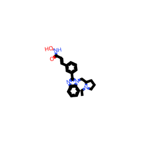 CCN1CCCC1Cn1c(-c2cccc(C=CC(=O)NO)c2)nc2ccccc21